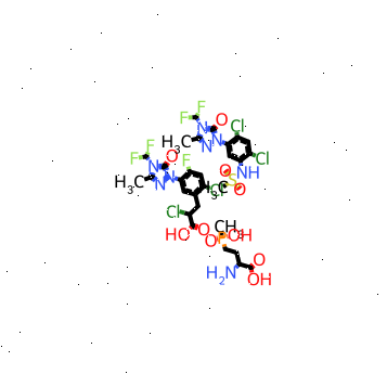 CP(=O)(O)CCC(N)C(=O)O.Cc1nn(-c2cc(CC(Cl)C(=O)O)c(Cl)cc2F)c(=O)n1C(F)F.Cc1nn(-c2cc(NS(C)(=O)=O)c(Cl)cc2Cl)c(=O)n1C(F)F